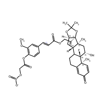 COc1cc(/C=C/C(=O)OCC(=O)[C@@]23OC(C)(C)O[C@@H]2C[C@H]2C4CCC5=CC(=O)C=C[C@]5(C)[C@@]4(F)[C@@H](O)C[C@@]23C)ccc1OC(=O)CO[N+](=O)[O-]